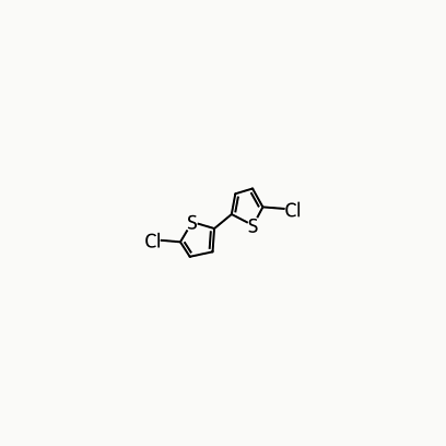 Clc1ccc(-c2ccc(Cl)s2)s1